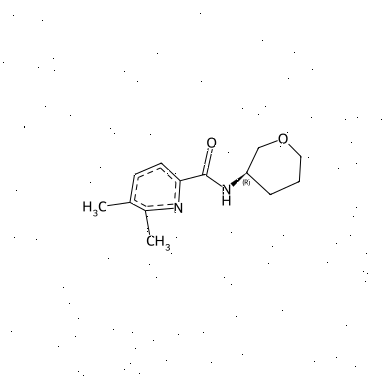 Cc1ccc(C(=O)N[C@@H]2CCCOC2)nc1C